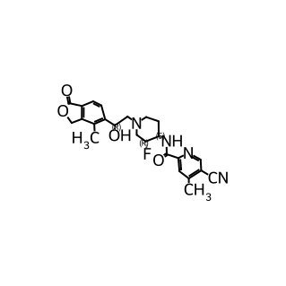 Cc1cc(C(=O)N[C@H]2CCN(C[C@H](O)c3ccc4c(c3C)COC4=O)C[C@H]2F)ncc1C#N